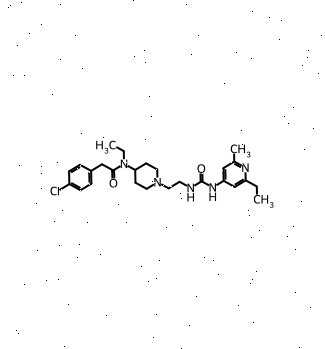 CCc1cc(NC(=O)NCCN2CCC(N(CC)C(=O)Cc3ccc(Cl)cc3)CC2)cc(C)n1